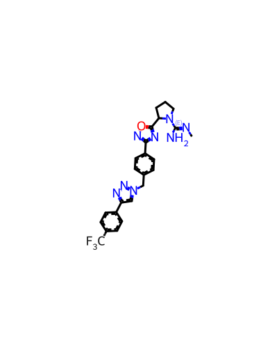 C/N=C(\N)N1CCCC1c1nc(-c2ccc(Cn3cc(-c4ccc(C(F)(F)F)cc4)nn3)cc2)no1